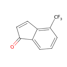 O=C1C=Cc2c1cccc2C(F)(F)F